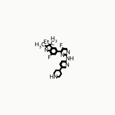 CCC1(C)C(C)=Nc2c(F)cc(-c3nc(Nc4ccc(C5CCNCC5)cn4)ncc3F)cc21